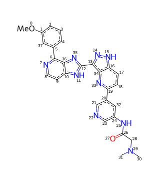 COc1cccc(-c2nccc3[nH]c(-c4n[nH]c5ccc(-c6cncc(NC(=O)CN(C)C)c6)nc45)nc23)c1